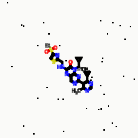 CCS(=O)(=O)c1csc(CNc2nc3cnc(-c4c(C)ncnc4C4CC4)nc3n([C@@H](C)C3CC3)c2=O)n1